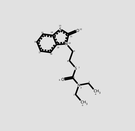 CCN(CC)C(=O)SCCn1c(=O)sc2ccccc21